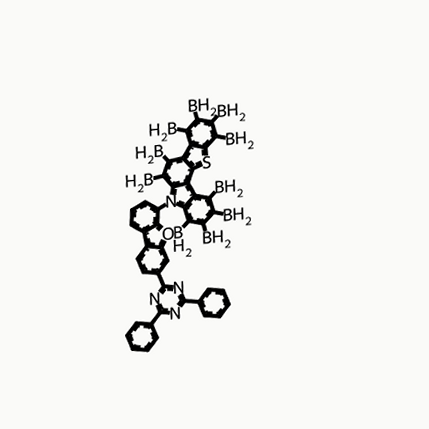 Bc1c(B)c(B)c2c(sc3c2c(B)c(B)c2c3c3c(B)c(B)c(B)c(B)c3n2-c2cccc3c2oc2cc(-c4nc(-c5ccccc5)nc(-c5ccccc5)n4)ccc23)c1B